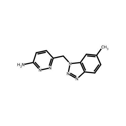 Cc1ccc2nnn(Cc3ccc(N)nn3)c2c1